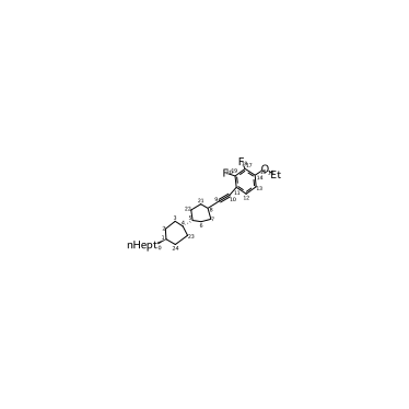 CCCCCCC[C@H]1CC[C@H](C2CCC(C#Cc3ccc(OCC)c(F)c3F)CC2)CC1